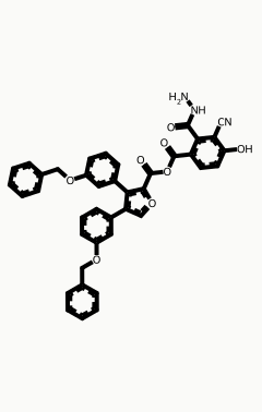 N#Cc1c(O)ccc(C(=O)OC(=O)c2occ(-c3cccc(OCc4ccccc4)c3)c2-c2cccc(OCc3ccccc3)c2)c1C(=O)NN